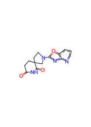 O=C1CCC2(CCN(c3nc4ncccc4o3)C2)C(=O)N1